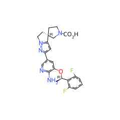 C[C@@H](Oc1cc(-c2cc3n(n2)CC[C@@]32CCN(C(=O)O)C2)cnc1N)c1c(F)cccc1F